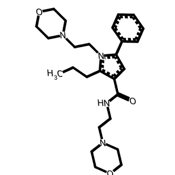 CCCc1c(C(=O)NCCN2CCOCC2)cc(-c2ccccc2)n1CCN1CCOCC1